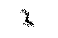 CC(Nc1nc(N2CC([C@H]3CCCN(CCO)C3)C2)cnc1C#N)c1ccc(Cl)cc1Cl